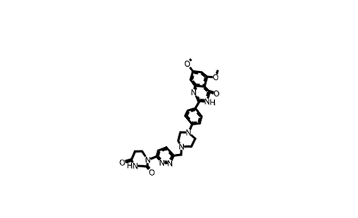 COc1cc(OC)c2c(=O)[nH]c(-c3ccc(N4CCN(Cc5ccc(N6CCC(=O)NC6=O)nn5)CC4)cc3)nc2c1